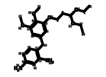 CCOC(CCOc1cc(Cc2cnc(N)nc2N)cc(OC)c1OC)OCC